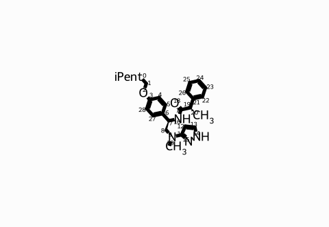 CCCC(C)COc1ccc([C@H](CN(C)c2cc[nH]n2)NC(=O)[C@@H](C)c2ccccc2)cc1